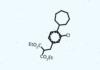 CCOC(=O)C(Cc1ccc(C2CCCCCC2)c(Cl)c1)C(=O)OCC